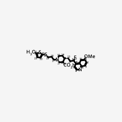 COc1ccc2nccc(C(F)CC[C@@H]3CCN(CCCSc4ccc(C)s4)C[C@@H]3C(=O)O)c2c1